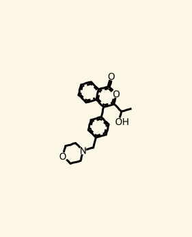 CC(O)c1oc(=O)c2ccccc2c1-c1ccc(CN2CCOCC2)cc1